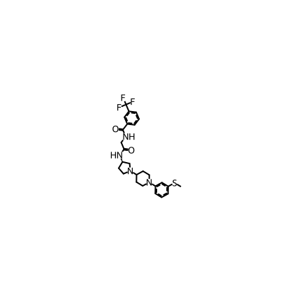 CSc1cccc(N2CCC(N3CC[C@@H](NC(=O)CNC(=O)c4cccc(C(F)(F)F)c4)C3)CC2)c1